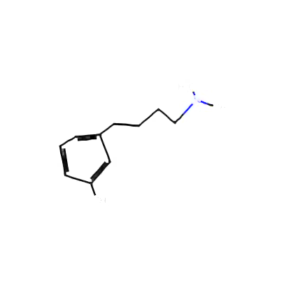 Cc1cccc(CCCCN(C)C)c1